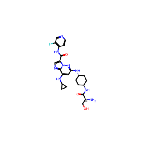 N[C@@H](CO)C(=O)N[C@H]1CC[C@H](Nc2cc(NC3CC3)c3ncc(C(=O)Nc4ccncc4F)n3n2)CC1